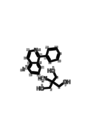 NC(CO)(CO)CO.[Ir].c1ccc(-c2nccc3ccccc23)cc1